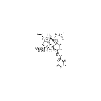 C=CCO[C@@]12CCC(OC)(OC)[C@@H]3Oc4c(OCc5ccccc5)ccc5c4[C@@]31CCN(CC1CC1)[C@@H]2C5